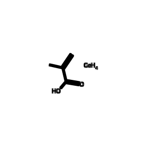 C=C(C)C(=O)O.[GeH4]